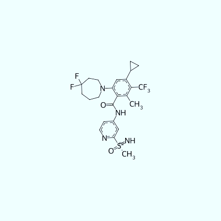 Cc1c(C(=O)Nc2ccnc([S@@](C)(=N)=O)c2)c(N2CCCC(F)(F)CC2)cc(C2CC2)c1C(F)(F)F